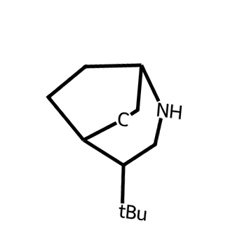 CC(C)(C)C1CNC2CCC1CC2